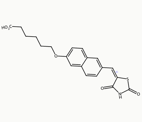 O=C(O)CCCCCOc1ccc2cc(/C=C3/SC(=O)NC3=O)ccc2c1